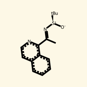 C/C(=N\[S@+]([O-])C(C)(C)C)c1nccc2ccccc12